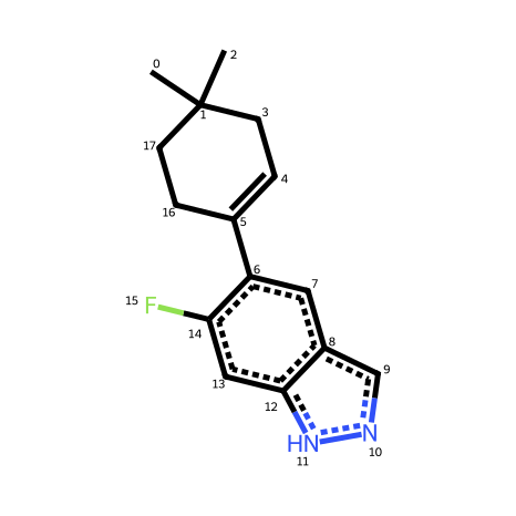 CC1(C)CC=C(c2cc3cn[nH]c3cc2F)CC1